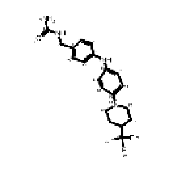 NC(=O)NCc1ccc(Nc2ccc(N3CCC(C(F)(F)F)CC3)cc2)cc1